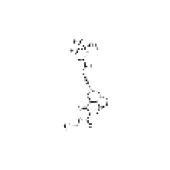 CCOC(=O)c1cn2c3c(cc(C#CCNC(=O)OC(C)(C)C)cc3c1=O)CC2